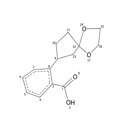 O=C(O)c1ccccc1C1CCC2(C1)OCCO2